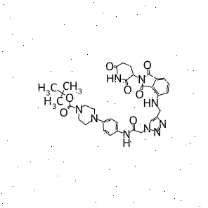 CC(C)(C)OC(=O)N1CCN(c2ccc(NC(=O)Cn3cc(CNc4cccc5c4C(=O)N(C4CCC(=O)NC4=O)C5=O)nn3)cc2)CC1